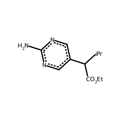 CCOC(=O)C(c1cnc(N)nc1)C(C)C